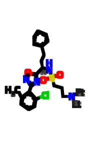 CCN(CC)CCCS(=O)(=O)N[C@H](CCc1ccccc1)c1nc(-c2c(C)cccc2Cl)no1